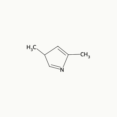 CC1=CC(C)C=N1